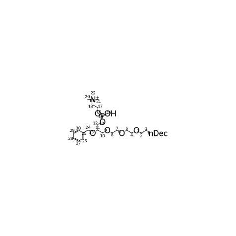 CCCCCCCCCCCCOCCOCCOCC(COP(O)OCC[N+](C)(C)C)OCc1ccccc1